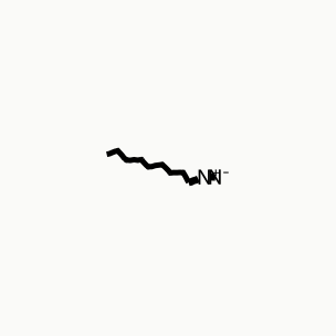 CCCCCCCCC=[N+]=[N-]